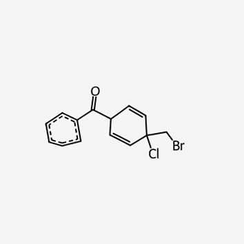 O=C(c1ccccc1)C1C=CC(Cl)(CBr)C=C1